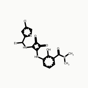 CCC(Nc1c(Nc2cccc(C(=O)N(C)C)c2O)c(=O)c1=O)c1cc(Cl)cs1